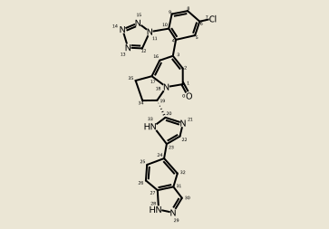 O=c1cc(-c2cc(Cl)ccc2-n2cnnn2)cc2n1[C@H](c1ncc(-c3ccc4[nH]ncc4c3)[nH]1)CC2